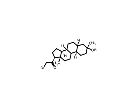 C[C@@]1(O)CC[C@@H]2C3CC[C@]4(C)[C@@H](C(=O)CBr)CC[C@H]4[C@@H]3CC[C@@H]2C1